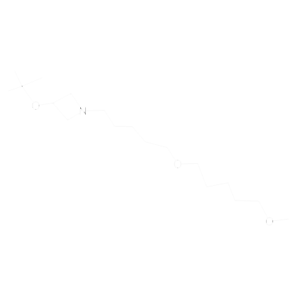 COCCCCCOCCCCCN1CC(OC(C)(C)C)C1